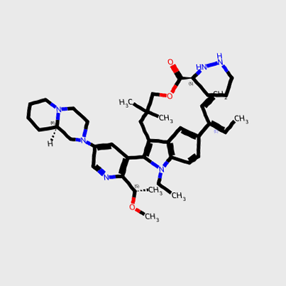 C=C/C(=C\C)c1ccc2c(c1)c(CC(C)(C)COC(=O)[C@@H]1CCCNN1)c(-c1cc(N3CCN4CCCC[C@@H]4C3)cnc1[C@H](C)OC)n2CC